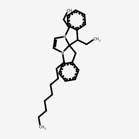 CCCCCCCCCN1C=CN(CCC)C1(Cc1ccccc1)C(CC)c1ccccc1